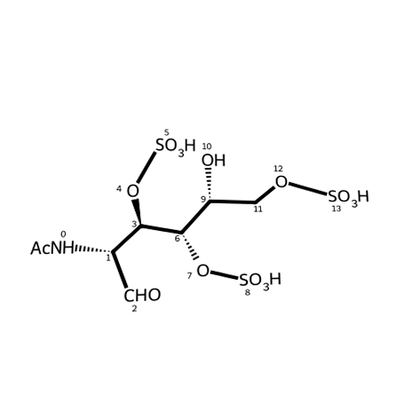 CC(=O)N[C@@H](C=O)[C@@H](OS(=O)(=O)O)[C@@H](OS(=O)(=O)O)[C@H](O)COS(=O)(=O)O